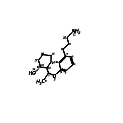 CC(Oc1cccc(CCCN)c1)C1CCCC[C@H]1O